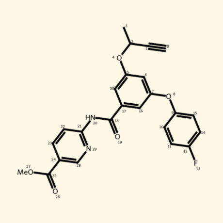 C#CC(C)Oc1cc(Oc2ccc(F)cc2)cc(C(=O)Nc2ccc(C(=O)OC)cn2)c1